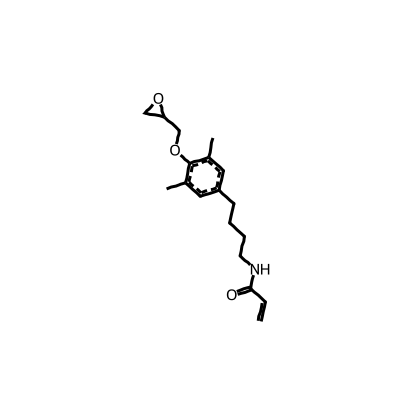 C=CC(=O)NCCCCc1cc(C)c(OCC2CO2)c(C)c1